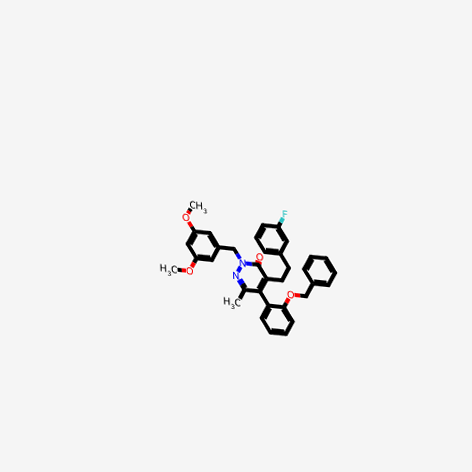 COc1cc(Cn2nc(C)c(-c3ccccc3OCc3ccccc3)c(CCc3cccc(F)c3)c2=O)cc(OC)c1